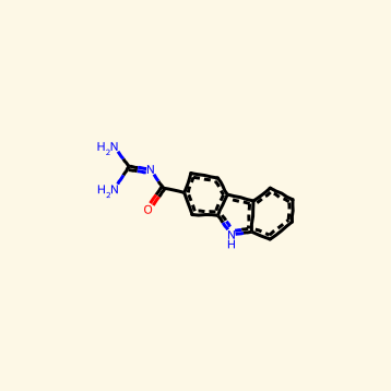 NC(N)=NC(=O)c1ccc2c(c1)[nH]c1ccccc12